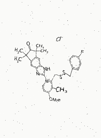 COc1cc[n+](-c2nc3cc4c(cc3[nH]2)C(C)(C)C(=O)C4(C)C)c(CSSCc2ccc(F)cc2)c1C.[Cl-]